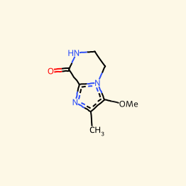 COc1c(C)nc2n1CCNC2=O